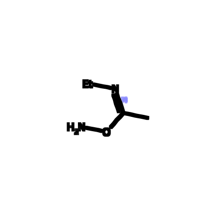 CC/N=C(/C)ON